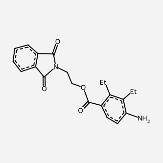 CCc1c(N)ccc(C(=O)OCCN2C(=O)c3ccccc3C2=O)c1CC